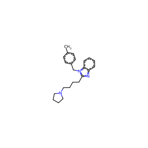 Cc1ccc(Cn2c(CCCCN3CCCC3)nc3ccccc32)cc1